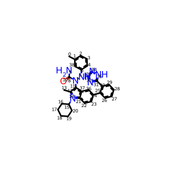 Cc1cccc(NN(C(N)=O)c2c(C)n(C3CCCCC3)c3ccc(-c4ccccc4-c4nnn[nH]4)cc23)c1